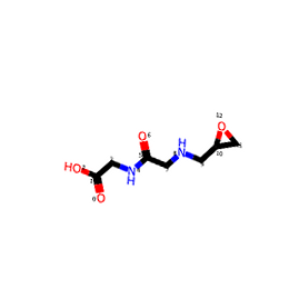 O=C(O)CNC(=O)CNCC1CO1